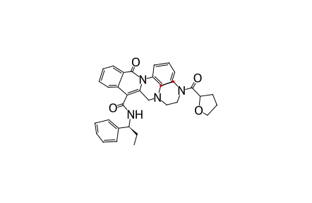 CC[C@H](NC(=O)c1c(CN2CCN(C(=O)C3CCCO3)CC2)n(-c2ccccc2)c(=O)c2ccccc12)c1ccccc1